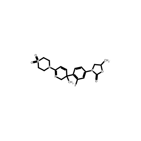 [CH2]C1CN(c2ccc(C3(C)C=CC(N4CCS(=O)(=O)CC4)=NC3)c(F)c2)C(=O)O1